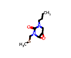 CCCCN1CC2OC2N(CSC)C1=O